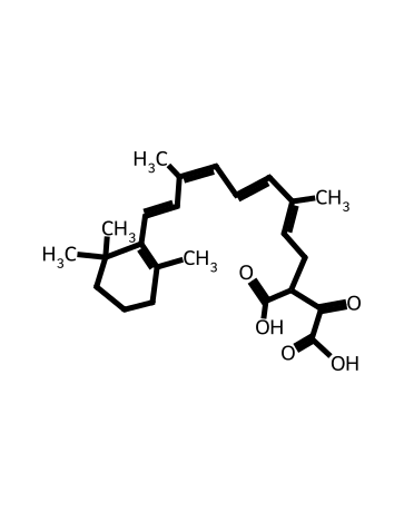 CC(C=C/C=C(/C)C=CC1=C(C)CCCC1(C)C)=CCC(C(=O)O)C(=O)C(=O)O